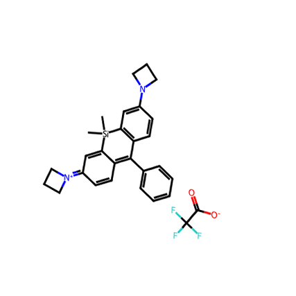 C[Si]1(C)C2=CC(=[N+]3CCC3)C=CC2=C(c2ccccc2)c2ccc(N3CCC3)cc21.O=C([O-])C(F)(F)F